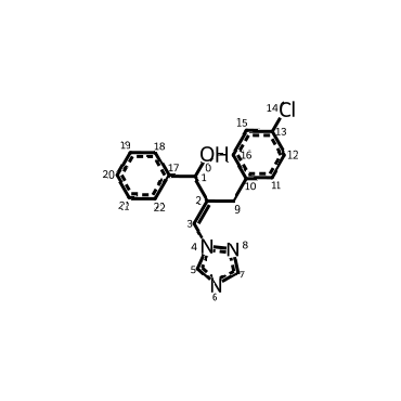 OC(C(=Cn1cncn1)Cc1ccc(Cl)cc1)c1ccccc1